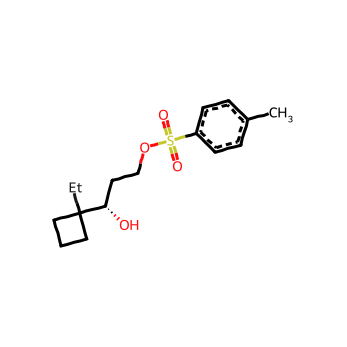 CCC1([C@@H](O)CCOS(=O)(=O)c2ccc(C)cc2)CCC1